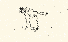 NCCCCCC(N)C(CCCC(=O)O)C(=O)O.NCCCCCCN.O=C(O)CCCCCCCCC(=O)O